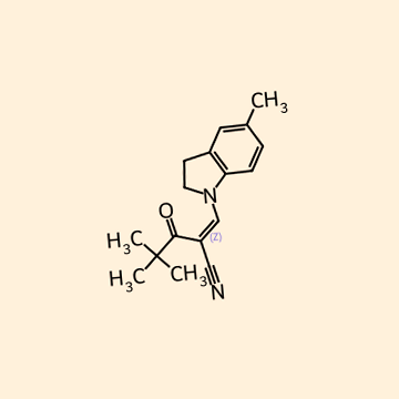 Cc1ccc2c(c1)CCN2/C=C(/C#N)C(=O)C(C)(C)C